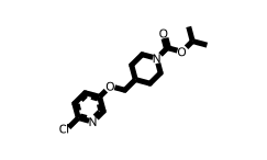 CC(C)OC(=O)N1CCC(COc2ccc(Cl)nc2)CC1